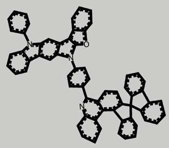 c1ccc(-n2c3ccccc3c3cc4c(cc32)c2c3ccccc3oc2n4-c2ccc(-c3nc4ccccc4c4c5c(ccc34)C3(c4ccccc4-c4ccccc43)c3ccccc3-5)cc2)cc1